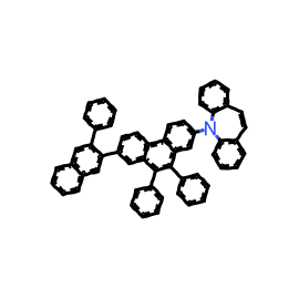 C1=Cc2ccccc2N(c2ccc3c(c2)c(-c2ccccc2)c(-c2ccccc2)c2cc(-c4cc5ccccc5cc4-c4ccccc4)ccc23)c2ccccc21